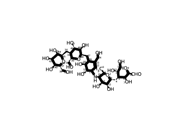 C[C@H]1O[C@H](C[C@@H]([C@H](O)[C@@H](O)C=O)[C@H](O)CO)[C@H](O)[C@@H](O)[C@@H]1NC1C=C(CO)C(C[C@H]2O[C@H](CO)[C@@H](C[C@H]3O[C@H](CO)[C@@H](O)[C@H](O)[C@H]3O)[C@H](O)[C@H]2O)[C@H](O)[C@H]1O